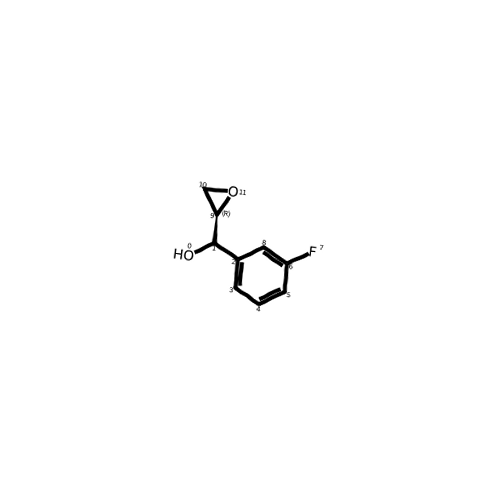 OC(c1cccc(F)c1)[C@H]1CO1